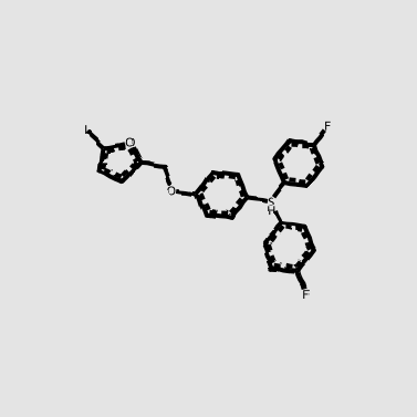 Fc1ccc([SH](c2ccc(F)cc2)c2ccc(OCc3ccc(I)o3)cc2)cc1